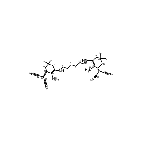 CC1(C)CC(NCCCCCCNC2=C(N)C(=C(C#N)C#N)CC(C)(C)C2)=C(N)C(=C(C#N)C#N)C1